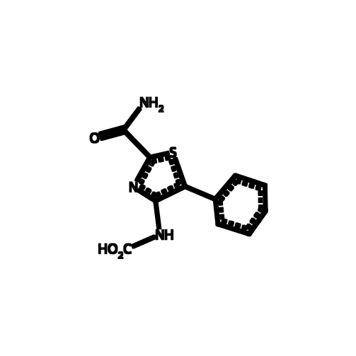 NC(=O)c1nc(NC(=O)O)c(-c2ccccc2)s1